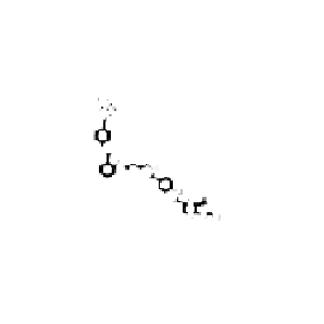 CCOP(=O)(OCC)OCc1ccc(OC(=O)c2ccccc2NC(=O)CC[C@H](NC(=O)c2ccc(NC(=O)c3cnc4[nH]c(N)nc(=O)c4n3)cc2)C(=O)O)cc1